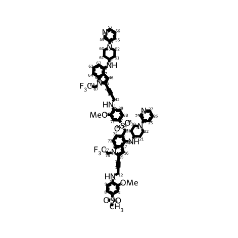 COc1cc(S(C)(=O)=O)ccc1NCC#Cc1cc2c(NC3CCN(c4cccnc4)CC3)c(CS(=O)(=O)c3ccc(NCC#Cc4cc5c(NC6CCN(c7cccnc7)CC6)cccc5n4CC(F)(F)F)c(OC)c3)ccc2n1CC(F)(F)F